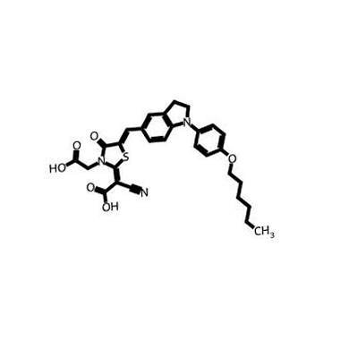 CCCCCCOc1ccc(N2CCc3cc(/C=c4\s/c(=C(\C#N)C(=O)O)n(CC(=O)O)c4=O)ccc32)cc1